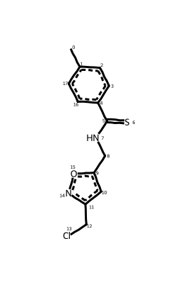 Cc1ccc(C(=S)NCc2cc(CCl)no2)cc1